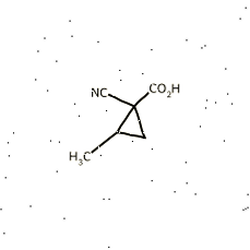 CC1CC1(C#N)C(=O)O